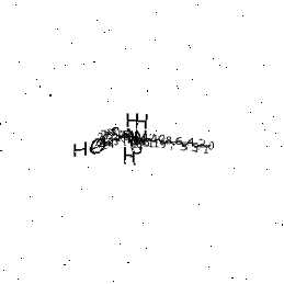 CCCCCCCCCCCCCCNC(=O)NNCCSc1ccc(O)cc1